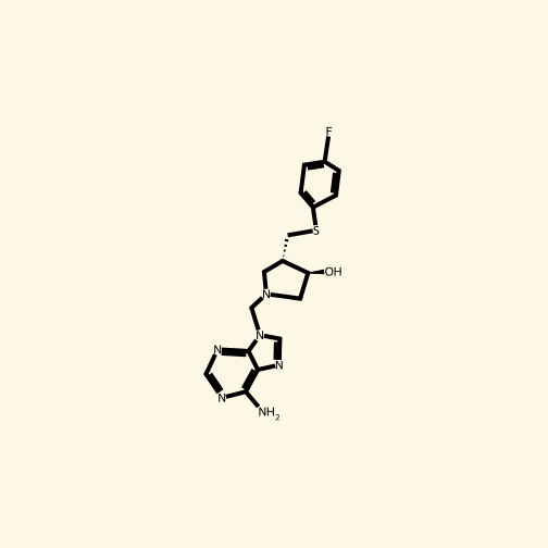 Nc1ncnc2c1ncn2CN1C[C@H](CSc2ccc(F)cc2)[C@@H](O)C1